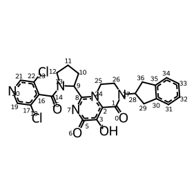 O=C1c2c(O)c(=O)nc(C3CCCN3C(=O)c3c(Cl)cncc3Cl)n2CCN1C1Cc2ccccc2C1